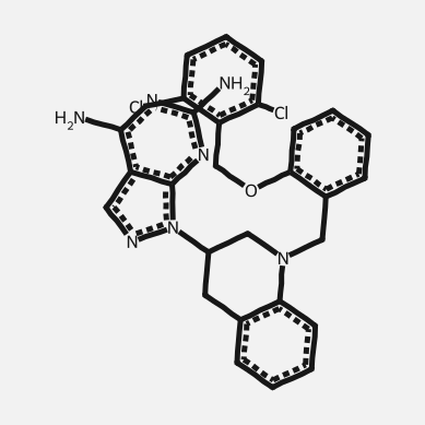 Nc1nc(N)c2cnn(C3Cc4ccccc4N(Cc4ccccc4OCc4c(Cl)cccc4Cl)C3)c2n1